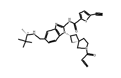 C#Cc1ccc(C(=O)Nc2nc3cc(CN[C@@H](C)C(C)(C)C)ccc3n2[C@H]2C[C@@]3(CCN(C(=O)C=C)C3)C2)s1